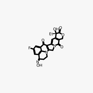 CC[C@@]1(O)C(=O)OCc2c1cc1n(c2=O)Cc2c-1c(=O)c1cc(F)cc3c1n2CC/C3=N\O